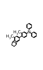 Cc1cc(N(c2ccccc2)c2ccccc2)ccc1-c1cc(C)c2c(c1)C1CCC2C1